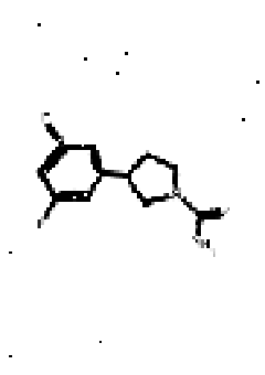 NC(=S)N1CCC(c2cc(F)cc(F)c2)C1